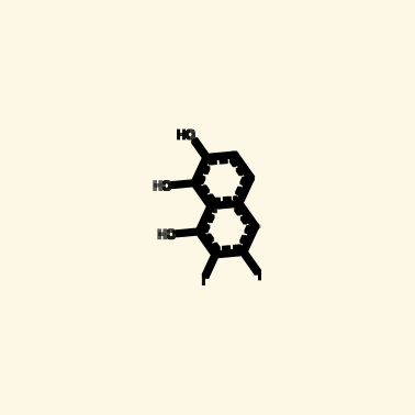 Oc1ccc2[c]c(I)c(I)c(O)c2c1O